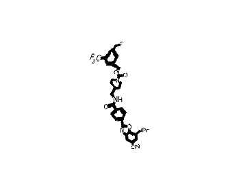 CC(C)c1cc(C#N)cc2nc(-c3ccc(C(=O)NCC4CCN(C(=O)OCc5cc(CF)cc(C(F)(F)F)c5)CC4)cc3)oc12